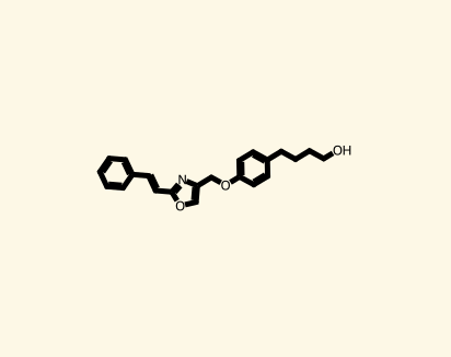 OCCCCc1ccc(OCc2coc(C=Cc3ccccc3)n2)cc1